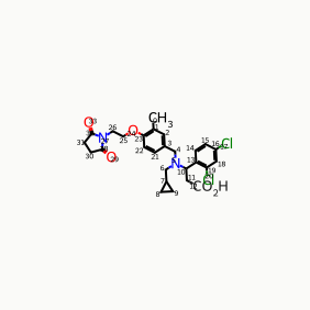 Cc1cc(CN(CC2CC2)C(CC(=O)O)c2ccc(Cl)cc2Cl)ccc1OCCN1C(=O)CCC1=O